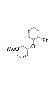 C/C=C\C(COC)Oc1ccccc1CC